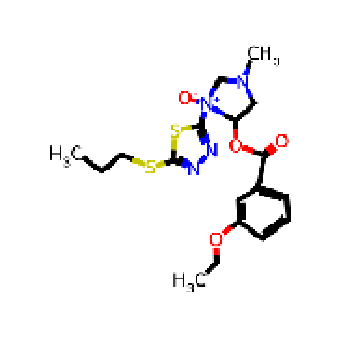 CCCSc1nnc([N+]2([O-])CN(C)CC2OC(=O)c2cccc(OCC)c2)s1